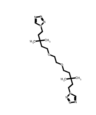 CC(C)(CCOCCOCCC(C)(C)CCn1cnnn1)CCn1cnnn1